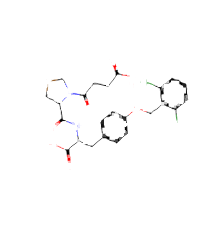 O=C(O)CCC(=O)N1CSCC1C(=O)NC(Cc1ccc(OCc2c(Cl)cccc2Cl)cc1)C(=O)O